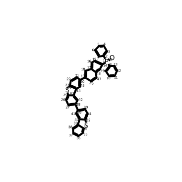 O=P(c1ccccc1)(c1ccccc1)c1ccc2cc(-c3ccc4sc5ccc(-c6ccc7sc8ccccc8c7c6)cc5c4c3)ccc2c1